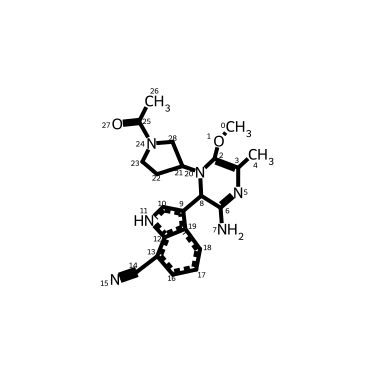 COC1=C(C)N=C(N)C(c2c[nH]c3c(C#N)cccc23)N1C1CCN(C(C)=O)C1